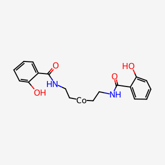 O=C(NC[CH2][Co][CH2]CNC(=O)c1ccccc1O)c1ccccc1O